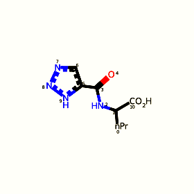 CCCC(NC(=O)c1cnn[nH]1)C(=O)O